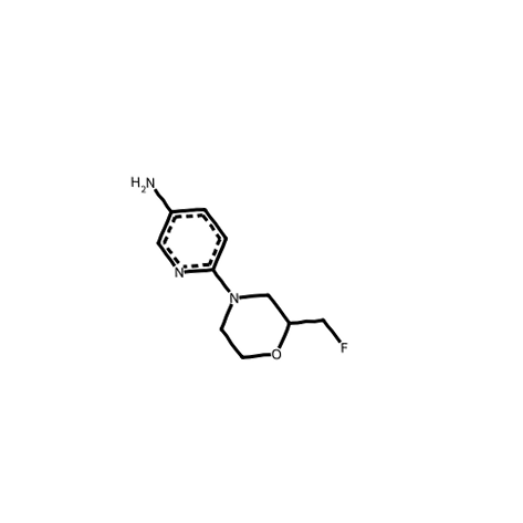 Nc1ccc(N2CCOC(CF)C2)nc1